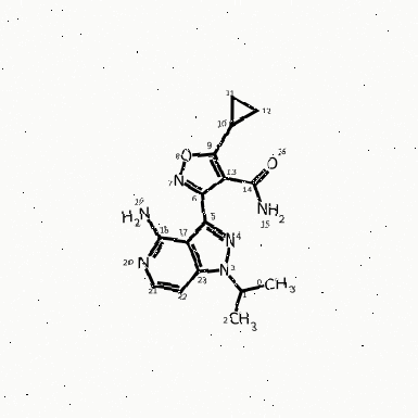 CC(C)n1nc(-c2noc(C3CC3)c2C(N)=O)c2c(N)nccc21